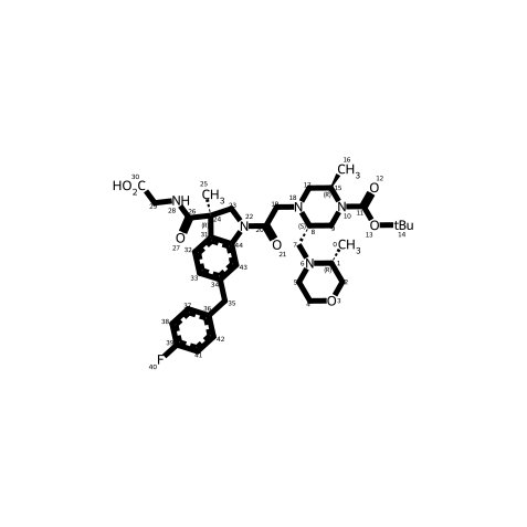 C[C@@H]1COCCN1C[C@H]1CN(C(=O)OC(C)(C)C)[C@H](C)CN1CC(=O)N1C[C@](C)(C(=O)NCC(=O)O)c2ccc(Cc3ccc(F)cc3)cc21